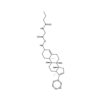 CCCC(=O)NCC(=O)ONC1C=C2CC[C@H]3[C@H](CC[C@]4(C)C(c5cccnc5)=CC[C@@H]34)[C@@]2(C)CC1